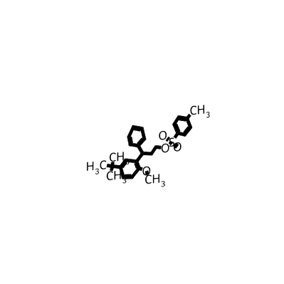 COc1ccc(C(C)(C)C)cc1C(CCOS(=O)(=O)c1ccc(C)cc1)c1ccccc1